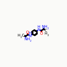 C=C(N)C(=O)Nc1ccc(NC(=O)C(=C)N)cc1